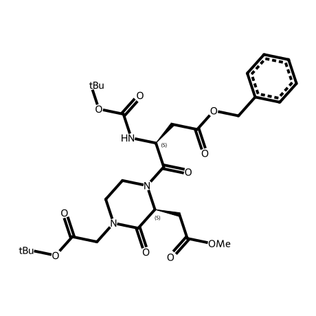 COC(=O)C[C@H]1C(=O)N(CC(=O)OC(C)(C)C)CCN1C(=O)[C@H](CC(=O)OCc1ccccc1)NC(=O)OC(C)(C)C